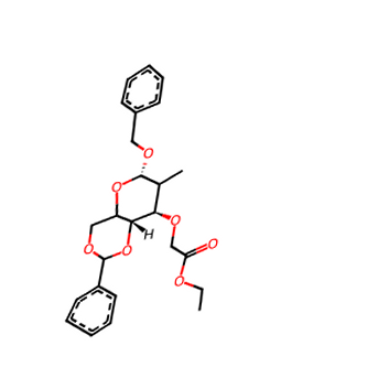 CCOC(=O)CO[C@@H]1C(C)[C@@H](OCc2ccccc2)OC2COC(c3ccccc3)O[C@H]21